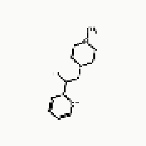 CN1CCN(CC(O)[C]2C=CC=CN2)CC1